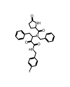 O=C1CCC(C(=O)N(Cc2ccccc2)C(Cc2ccccc2)C(=O)C(=O)NCc2ccc(F)cc2)N1